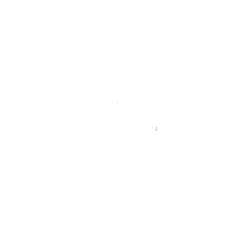 Nc1c(Cl)cc(SC(F)(C(F)(F)F)C(F)(F)F)cc1Cl